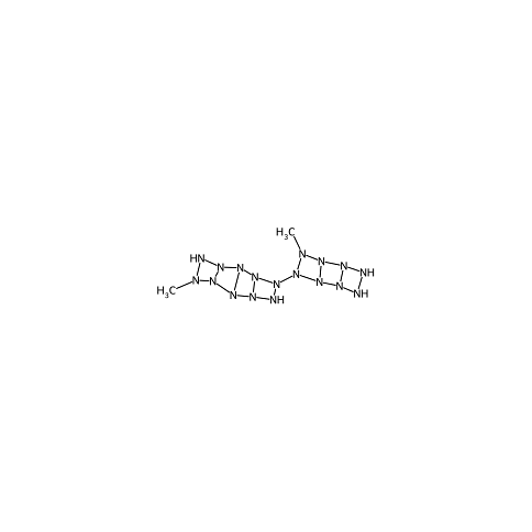 CN1NN2N1N1N3NN(N4N(C)N5N6NNN6N54)N3N21